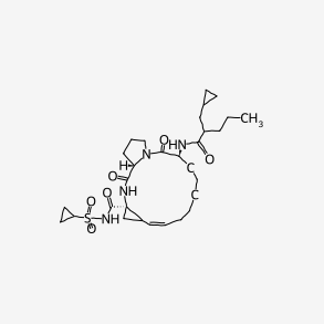 CCCC(CC1CC1)C(=O)N[C@H]1CCCCC/C=C\C2C[C@@]2(C(=O)NS(=O)(=O)C2CC2)NC(=O)[C@@H]2CCCN2C1=O